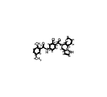 Cc1ccc(C)c(C(=O)Nc2ccc(C(=O)N3C=C4C=CNN4c4ccccc43)c(Cl)c2)c1